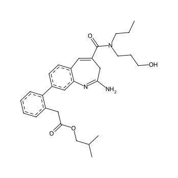 CCCN(CCCO)C(=O)C1=Cc2ccc(-c3ccccc3CC(=O)OCC(C)C)cc2N=C(N)C1